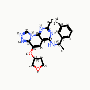 Cc1nc(N[C@H](C)c2cccc(C(F)(F)F)c2)c2cc(O[C@H]3CCOC3)c3nncn3c2n1